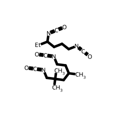 CC(CCN=C=O)CC(C)(C)CN=C=O.CCC(CCCN=C=O)N=C=O